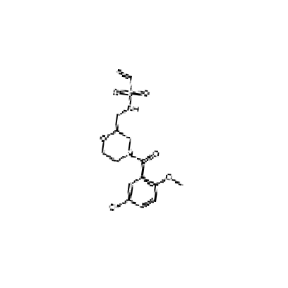 C=CS(=O)(=O)NCC1CN(C(=O)c2cc(Cl)ccc2OC)CCO1